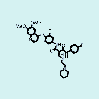 COc1cc2nccc(Oc3ccc(NC(=O)/C(=C/NCCN4CCCCC4)C(=O)Nc4ccc(F)cc4)cc3F)c2cc1OC